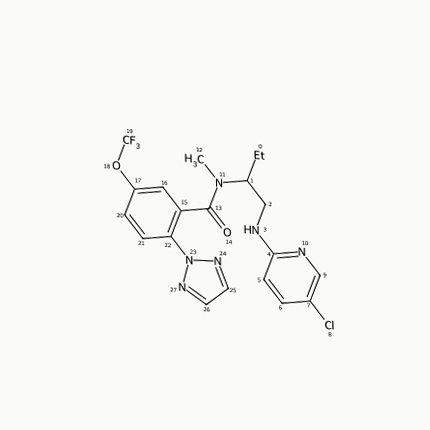 CCC(CNc1ccc(Cl)cn1)N(C)C(=O)c1cc(OC(F)(F)F)ccc1-n1nccn1